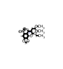 CCOC(=O)/C(CC(OC)OC)=C(/Br)c1cc2c(cc1[N+](=O)[O-])OCO2